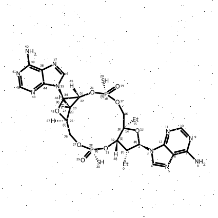 CC[C@H]1[C@H](n2cnc3c(N)ncnc32)O[C@]2(CC)CO[P@@](=O)(S)O[C@@H]3[C@@H](F)[C@@H](CO[P@@](=O)(S)O[C@@H]12)O[C@H]3n1cnc2c(N)ncnc21